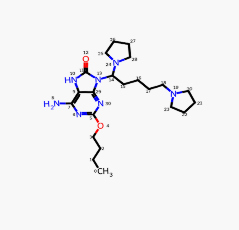 CCCCOc1nc(N)c2[nH]c(=O)n(C(CCCCN3CCCC3)N3CCCC3)c2n1